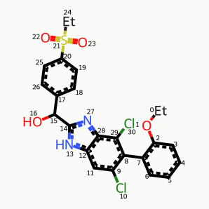 CCOc1ccccc1-c1c(Cl)cc2[nH]c(C(O)c3ccc(S(=O)(=O)CC)cc3)nc2c1Cl